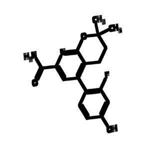 CC1(C)CCc2c(-c3ccc(O)cc3F)cc(C(N)=O)nc2O1